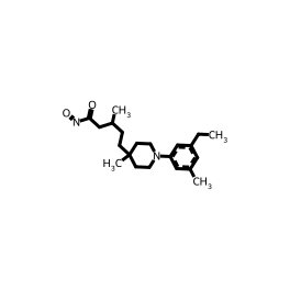 CCc1cc(C)cc(N2CCC(C)(CCC(C)CC(=O)N=O)CC2)c1